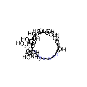 C[C@@H]1OC(=O)CC(O)CC(O)CCC(O)[C@H](O)CC(O)CC2(O)C[C@H](O)C(C(=O)O)[C@H](CC(OC3O[C@H](C)C(O)[C@H](N)[C@@H]3O)/C=C/C=C/C=C/C=C/C=C/C=C/C=C/[C@H](C)C(O)[C@H]1C)O2